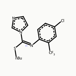 CCCCS/C(=N/c1ccc(Cl)cc1C(F)(F)F)n1ccnc1